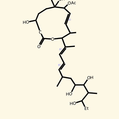 CCC(O)C(C)C(O)C(O)CC(C)/C=C/C=C(\C)C1OC(=O)CC(O)CCC(C)(O)C(OC(C)=O)/C=C/C1C